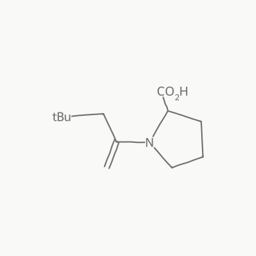 C=C(CC(C)(C)C)N1CCCC1C(=O)O